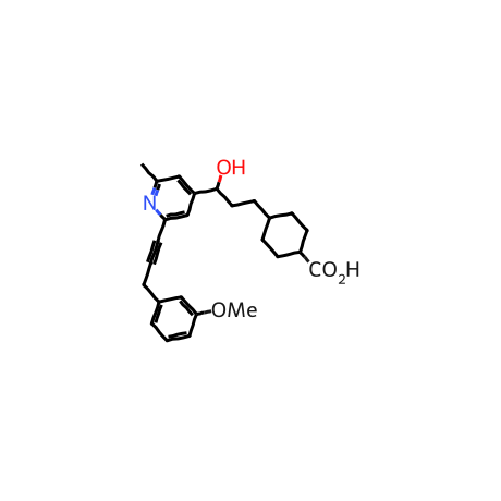 COc1cccc(CC#Cc2cc(C(O)CCC3CCC(C(=O)O)CC3)cc(C)n2)c1